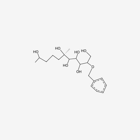 CC(O)CCC[C@@](C)(O)C(O)C(O)C(O)C(CO)OCc1ccccc1